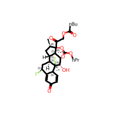 CCCCC(=O)OCC(=O)[C@@]1(OC(=O)OCCC)[C@H](C)C[C@H]2[C@@H]3C[C@H](F)C4=CC(=O)C=C[C@]4(C)[C@@]3(F)[C@@H](O)C[C@@]21C